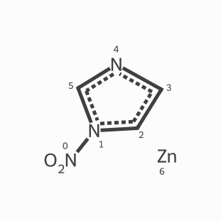 O=[N+]([O-])n1ccnc1.[Zn]